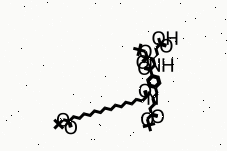 CC(C)(C)OC(=O)CCCCCCCCCCCCCCC(=O)N(CCC(=O)OC(C)(C)C)Cc1ccc(C(=O)N[C@H](CCC(=O)O)C(=O)OC(C)(C)C)cc1